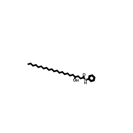 CCCCCCCCCCCCCCCCCCC(O)CCC(=O)Nc1ccccc1